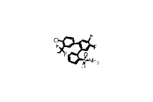 NS(=O)(=O)c1ccccc1-c1cc(F)c(F)cc1-c1ccc(Cl)c(C(F)(F)F)c1